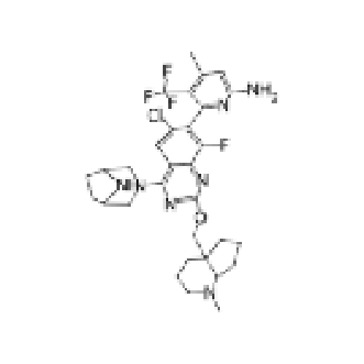 Cc1cc(N)nc(-c2c(Cl)cc3c(N4CC5CCC(C4)N5)nc(OCC45CCCC4N(C)CCC5)nc3c2F)c1C(F)(F)F